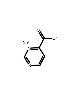 O=C([O-])c1ccncn1.[Na+]